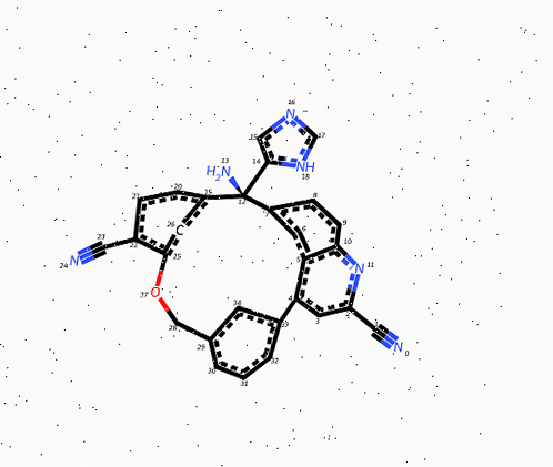 N#Cc1cc2c3cc(ccc3n1)[C@@](N)(c1cnc[nH]1)c1ccc(C#N)c(c1)OCc1cccc-2c1